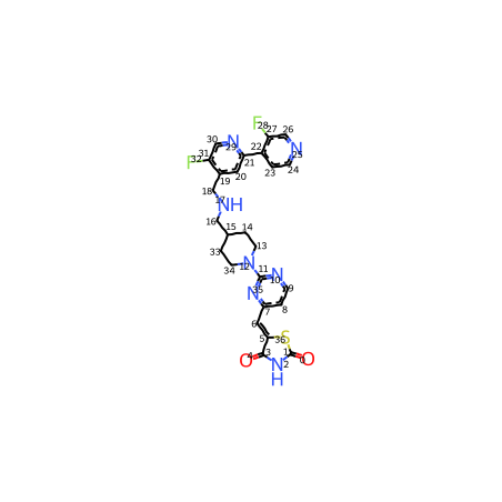 O=C1NC(=O)/C(=C/c2ccnc(N3CCC(CNCc4cc(-c5ccncc5F)ncc4F)CC3)n2)S1